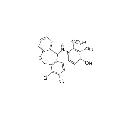 O=C(O)C1=C(O)C(O)C=CN1NC1c2ccccc2OCc2c1ccc(Cl)c2Cl